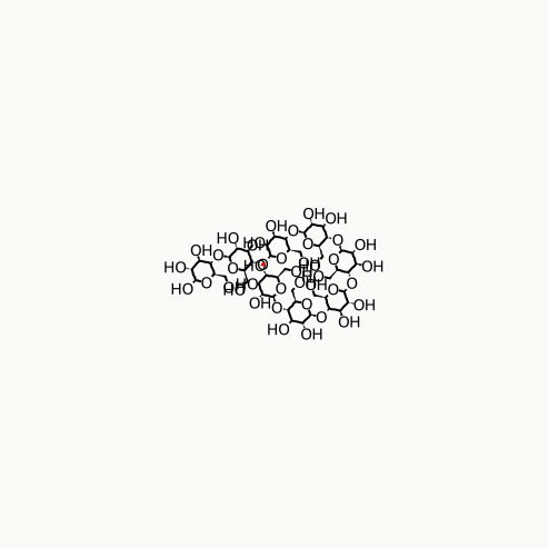 OC[C@H]1O[C@@H](O[C@H]2[C@H](O)[C@@H](O)[C@H](O[C@H]3[C@H](O)[C@@H](O)[C@H](O[C@H]4[C@H](O)[C@@H](O)[C@H](O[C@H]5[C@H](O)[C@@H](O)[C@H](O[C@H]6[C@H](O)[C@@H](O)[C@H](O[C@H]7[C@H](O)[C@@H](O)[C@H](O[C@H]8[C@H](O)[C@@H](O)[C@H](O)O[C@@H]8CO)O[C@@H]7CO)O[C@@H]6CO)O[C@@H]5CO)O[C@@H]4CO)O[C@@H]3CO)O[C@@H]2CO)[C@H](O)[C@@H](O)[C@@H]1O